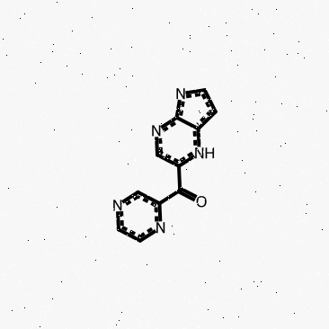 O=C(c1cnccn1)c1cnc2nccc-2[nH]1